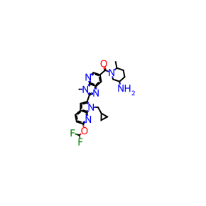 CC1CCC(N)CN1C(=O)c1cnc2c(c1)nc(-c1cc3ccc(OC(F)F)nc3n1CC1CC1)n2C